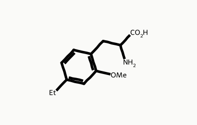 CCc1ccc(CC(N)C(=O)O)c(OC)c1